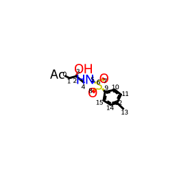 CC(=O)CC(O)CNS(=O)(=O)c1ccc(C)cc1